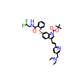 CCN(CC)Cc1ccc(/C=C/c2cn(C(=O)OC(C)(C)C)c3cc(Sc4ccccc4C(=O)NCC(F)F)ccc23)nc1